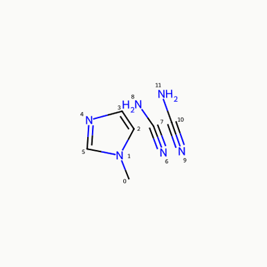 Cn1ccnc1.N#CN.N#CN